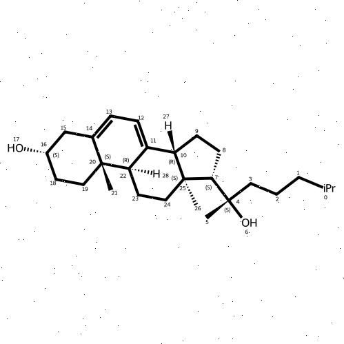 CC(C)CCC[C@](C)(O)[C@H]1CC[C@H]2C3=CC=C4C[C@@H](O)CC[C@@]4(C)[C@@H]3CC[C@@]21C